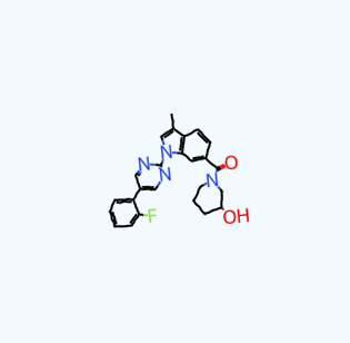 Cc1cn(-c2ncc(-c3ccccc3F)cn2)c2cc(C(=O)N3CCCC(O)C3)ccc12